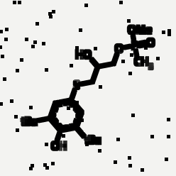 COP(C)(=O)OCC(O)CSc1cc(C(C)(C)C)c(O)c(C(C)(C)C)c1